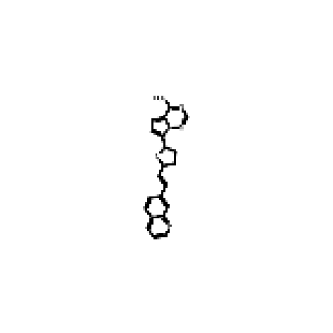 Nc1ncnn2c(C3CCC(/C=C/c4ccc5cccnc5c4)O3)ccc12